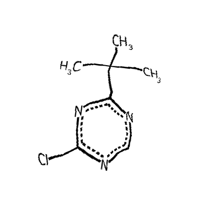 CC(C)(C)c1ncnc(Cl)n1